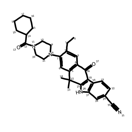 CCc1cc2c(cc1N1CCN(C(=O)C3CCCCC3)CC1)C(C)(C)c1[nH]c3cc(C#N)ccc3c1C2=O